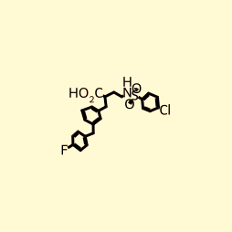 O=C(O)C(CCNS(=O)(=O)c1ccc(Cl)cc1)Cc1cccc(Cc2ccc(F)cc2)c1